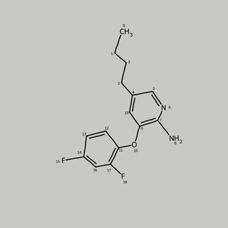 CCCCc1cnc(N)c(Oc2ccc(F)cc2F)c1